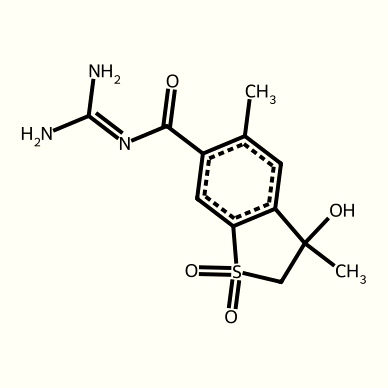 Cc1cc2c(cc1C(=O)N=C(N)N)S(=O)(=O)CC2(C)O